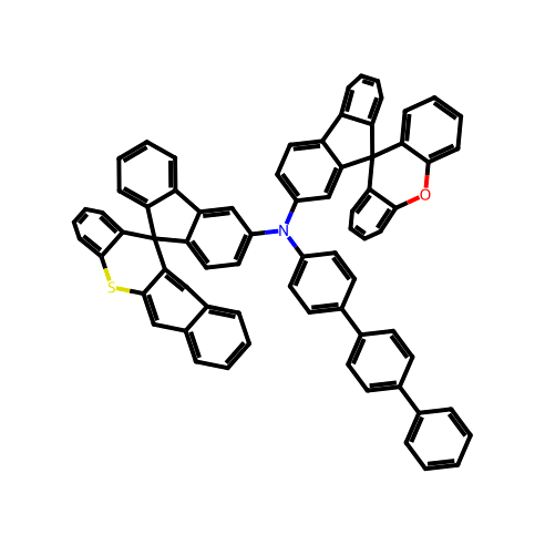 c1ccc(-c2ccc(-c3ccc(N(c4ccc5c(c4)-c4ccccc4C54c5ccccc5Sc5cc6ccccc6cc54)c4ccc5c(c4)C4(c6ccccc6Oc6ccccc64)c4ccccc4-5)cc3)cc2)cc1